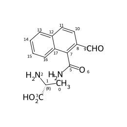 C[C@@H](N)C(=O)O.NC(=O)c1c(C=O)ccc2ccccc12